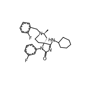 C[C@H]1C[C@]2(CCN1Cc1ccccc1F)C(NC1CCCCC1)=NC(=O)N2c1cccc(F)c1